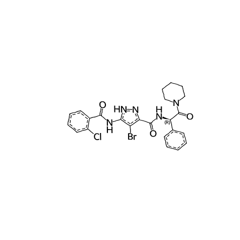 O=C(Nc1[nH]nc(C(=O)N[C@@H](C(=O)N2CCCCC2)c2ccccc2)c1Br)c1ccccc1Cl